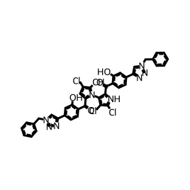 Cc1c(Cl)cc(C(=O)c2ccc(-c3cn(Cc4ccccc4)nn3)cc2O)n1-c1c(C(=O)c2ccc(-c3cn(Cc4ccccc4)nn3)cc2O)[nH]c(Cl)c1Cl